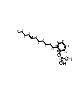 CCCC=CCCCCCCc1ccccc1OB(O)O